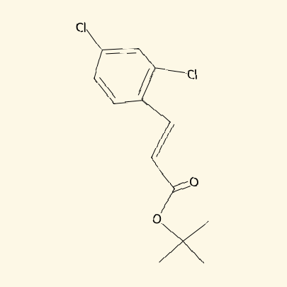 CC(C)(C)OC(=O)/C=C/c1ccc(Cl)cc1Cl